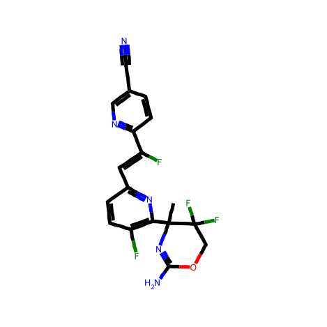 CC1(c2nc(C=C(F)c3ccc(C#N)cn3)ccc2F)N=C(N)OCC1(F)F